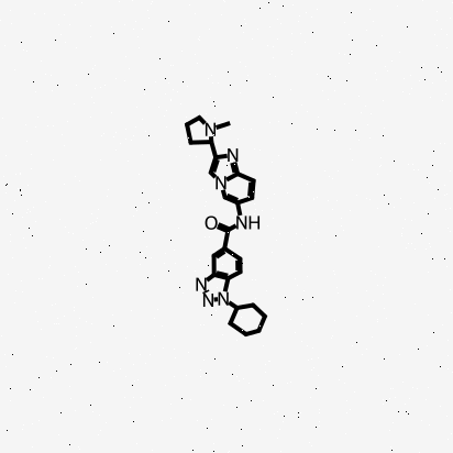 CN1CCCC1c1cn2cc(NC(=O)c3ccc4c(c3)nnn4C3CCCCC3)ccc2n1